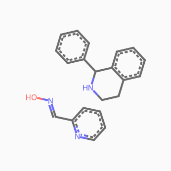 ON=Cc1ccccn1.c1ccc(C2NCCc3ccccc32)cc1